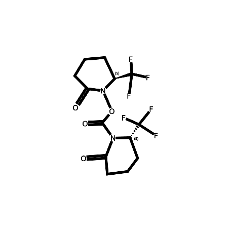 O=C1CCC[C@@H](C(F)(F)F)N1OC(=O)N1C(=O)CCC[C@H]1C(F)(F)F